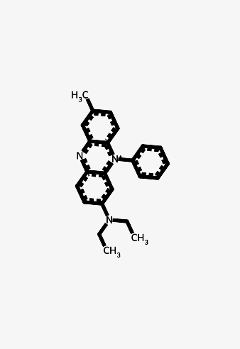 CCN(CC)c1ccc2nc3cc(C)ccc3[n+](-c3ccccc3)c2c1